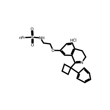 CCCS(=O)(=O)NCCOc1ccc2c(c1)C(C1(c3ccccc3)CCC1)=NCC2.Cl